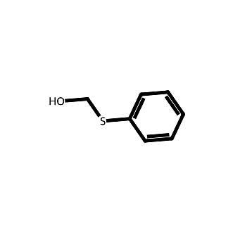 OCSc1ccccc1